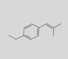 C[CH]c1ccc(C=C(C)C)cc1